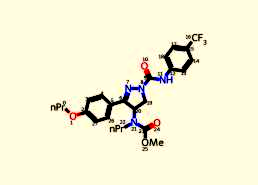 CCCOc1ccc(C2=NN(C(=O)Nc3ccc(C(F)(F)F)cc3)CC2N(CCC)C(=O)OC)cc1